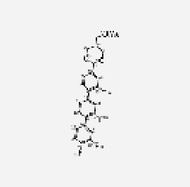 COCC1COC(c2ccc(-c3ccc(-c4ccc(F)c(F)c4)c(F)c3)c(F)c2)OC1